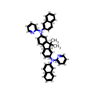 CC1(C)c2cc(N(c3ccc4ccccc4c3)c3ccccn3)ccc2-c2ccc(N(c3ccc4ccccc4c3)c3ccccn3)cc21